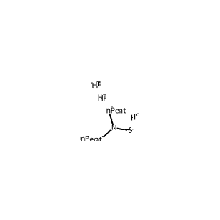 CCCCCN([S])CCCCC.F.F.F